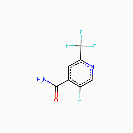 NC(=O)c1cc(C(F)(F)F)ncc1F